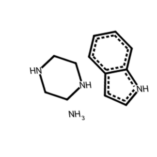 C1CNCCN1.N.c1ccc2[nH]ccc2c1